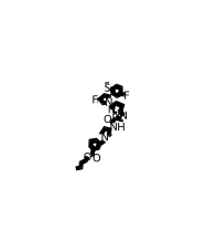 CCCCOC(=O)c1cccc(CN2CC[C@H](NC(=O)c3cnc4ccc(N5C[C@@H](F)C[C@@H]5c5cc(F)ccc5SC)nn34)C2)c1